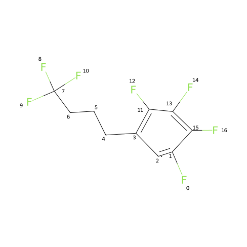 Fc1[c]c(CCCC(F)(F)F)c(F)c(F)c1F